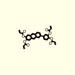 C=CC(=O)Oc1ccc(-c2ccc3cc4cc(OC(=O)C=C)c(OC(=O)C=C)cc4cc3c2)cc1OC(=O)C=C